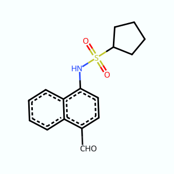 O=Cc1ccc(NS(=O)(=O)C2CCCC2)c2ccccc12